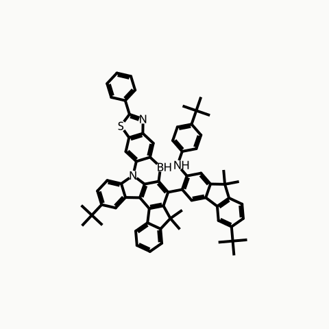 CC(C)(C)c1ccc(Nc2cc3c(cc2-c2c4c(c5c6cc(C(C)(C)C)ccc6n6c5c2Bc2cc5nc(-c7ccccc7)sc5cc2-6)-c2ccccc2C4(C)C)-c2cc(C(C)(C)C)ccc2C3(C)C)cc1